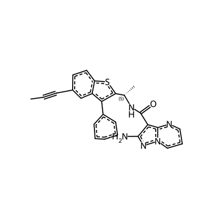 CC#Cc1ccc2sc([C@H](C)NC(=O)c3c(N)nn4cccnc34)c(-c3ccccc3)c2c1